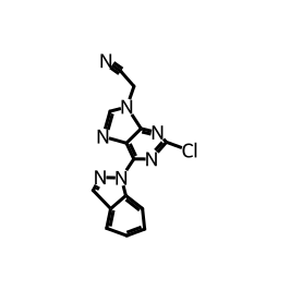 N#CCn1cnc2c(-n3ncc4ccccc43)nc(Cl)nc21